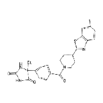 CCC1(c2ccc(C(=O)N3CCC(c4nc5ccc(C)cc5s4)CC3)cc2)NC(=O)NC1=O